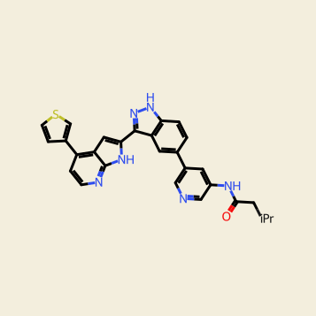 CC(C)CC(=O)Nc1cncc(-c2ccc3[nH]nc(-c4cc5c(-c6ccsc6)ccnc5[nH]4)c3c2)c1